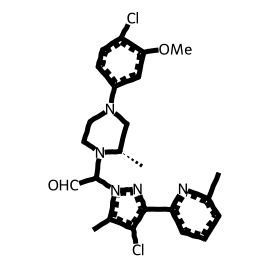 COc1cc(N2CCN(C(C=O)n3nc(-c4cccc(C)n4)c(Cl)c3C)[C@@H](C)C2)ccc1Cl